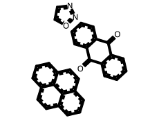 O=C1c2ccccc2C(=O)c2ccccc21.c1cc2ccc3cccc4ccc(c1)c2c34.c1conn1